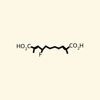 CC(=C[CH]CCCC(F)C=C(C)C(=O)O)C(=O)O